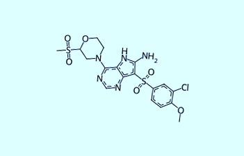 COc1ccc(S(=O)(=O)c2c(N)[nH]c3c(N4CCOC(S(C)(=O)=O)C4)ncnc23)cc1Cl